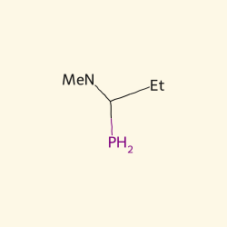 CCC(P)NC